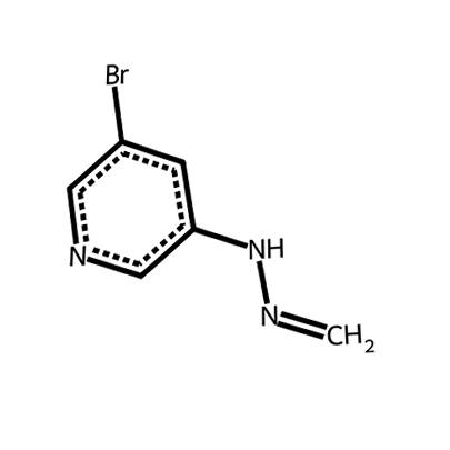 C=NNc1cncc(Br)c1